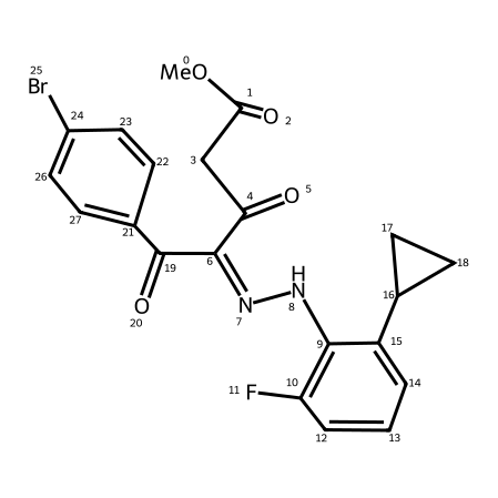 COC(=O)CC(=O)/C(=N\Nc1c(F)cccc1C1CC1)C(=O)c1ccc(Br)cc1